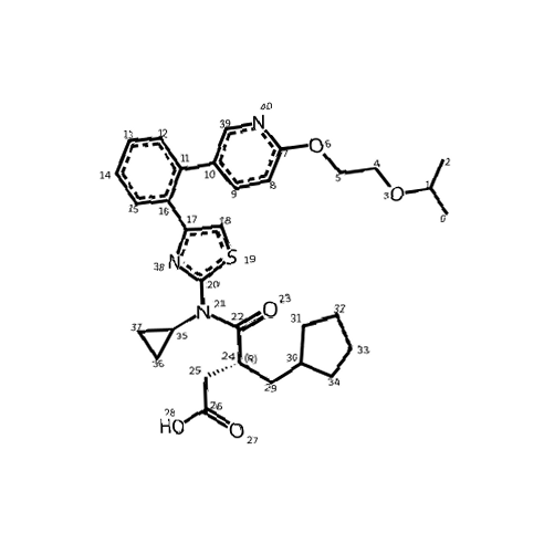 CC(C)OCCOc1ccc(-c2ccccc2-c2csc(N(C(=O)[C@@H](CC(=O)O)CC3CCCC3)C3CC3)n2)cn1